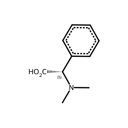 CN(C)[C@H](C(=O)O)c1ccccc1